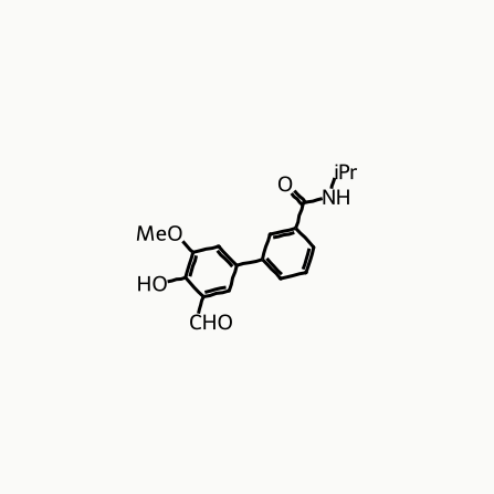 COc1cc(-c2cccc(C(=O)NC(C)C)c2)cc(C=O)c1O